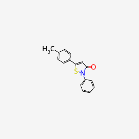 Cc1ccc(-c2cc(=O)n(-c3ccccc3)s2)cc1